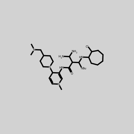 CCCCC(NC1CCCCCC1Cl)C(C(=O)NC1=CN(C)C=CC1N1CCC(CN(C)C)CC1)C(N)N